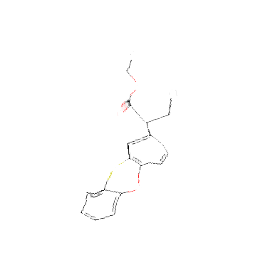 CCOC(=O)C(CC)c1ccc2c(c1)Sc1ccccc1O2